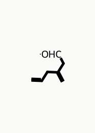 C=CCC(=C)C[C]=O